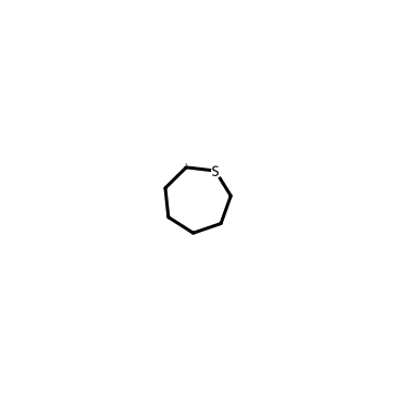 [CH]1CCCCCS1